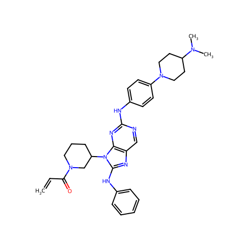 C=CC(=O)N1CCCC(n2c(Nc3ccccc3)nc3cnc(Nc4ccc(N5CCC(N(C)C)CC5)cc4)nc32)C1